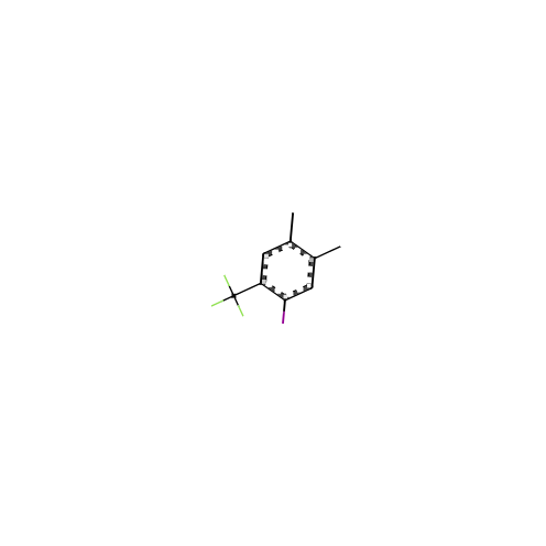 Cc1cc(I)c(C(F)(F)F)cc1C